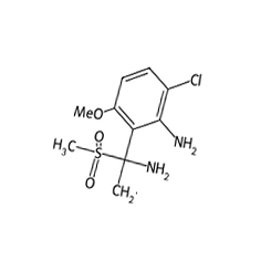 [CH2]C(N)(c1c(OC)ccc(Cl)c1N)S(C)(=O)=O